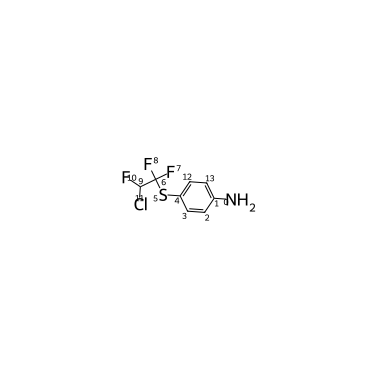 Nc1ccc(SC(F)(F)C(F)Cl)cc1